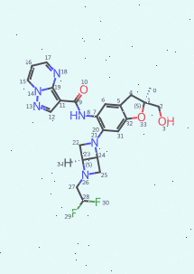 C[C@@]1(CO)Cc2cc(NC(=O)c3cnn4cccnc34)c(N3C[C@H]4C3CN4CC(F)F)cc2O1